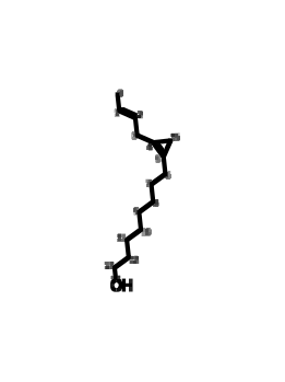 CC=CCC1=C(CCCCCCCCO)C1